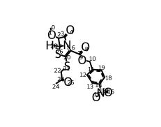 COC1C(=O)N2C(C(=O)OCc3ccc([N+](=O)[O-])cc3)=C(SCC(C)=O)S[C@H]12